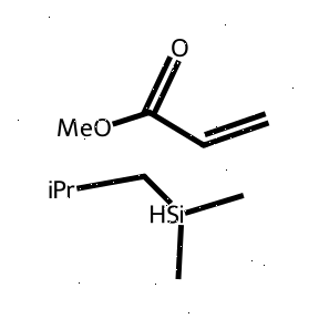 C=CC(=O)OC.CC(C)C[SiH](C)C